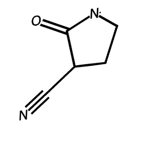 N#CC1CC[N]C1=O